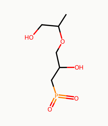 CC(CO)OCC(O)CP(=O)=O